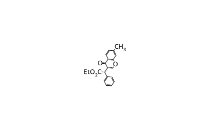 CCOC(=O)C(c1ccccc1)c1coc2cc(C)ccc2c1=O